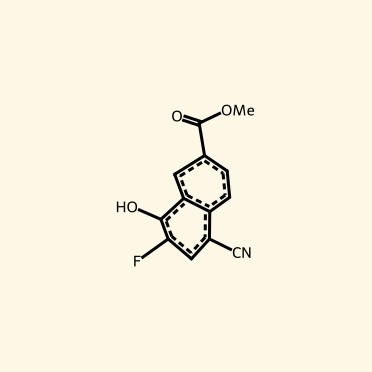 COC(=O)c1ccc2c(C#N)cc(F)c(O)c2c1